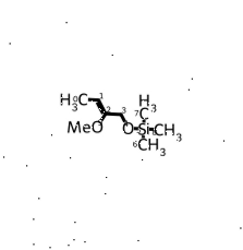 C/C=C(/CO[Si](C)(C)C)OC